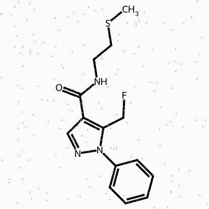 CSCCNC(=O)c1cnn(-c2ccccc2)c1CF